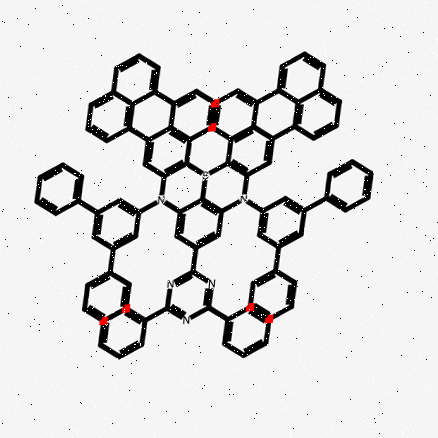 c1ccc(-c2cc(-c3ccccc3)cc(N3c4cc(-c5nc(-c6ccccc6)nc(-c6ccccc6)n5)cc5c4B(c4c3cc3c6cccc7cccc(c8cccc4c83)c76)c3c(cc4c6cccc7cccc(c8cccc3c84)c76)N5c3cc(-c4ccccc4)cc(-c4ccccc4)c3)c2)cc1